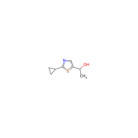 CC(O)c1cnc(C2CC2)s1